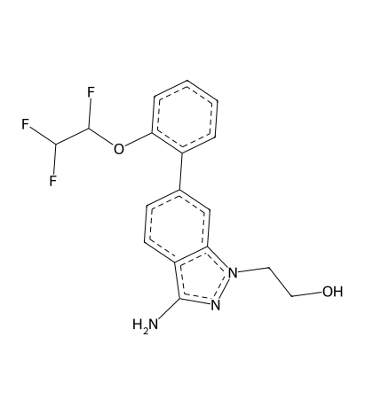 Nc1nn(CCO)c2cc(-c3ccccc3OC(F)C(F)F)ccc12